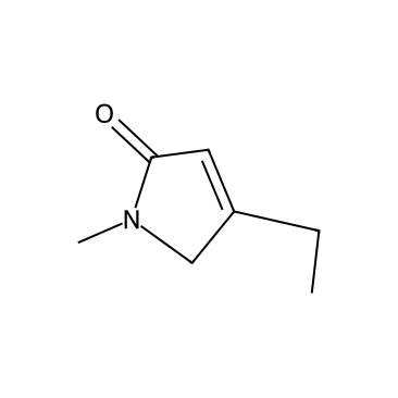 CCC1=CC(=O)N(C)C1